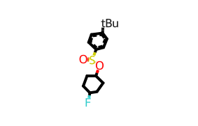 CC(C)(C)c1ccc(S(=O)OC2CCC(F)CC2)cc1